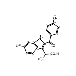 CC(C(=O)O)c1c(C(=O)c2ccc(C#N)cc2)[nH]c2cc(Cl)ccc12